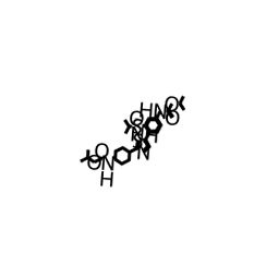 CC(C)OC(=O)Nc1ccc(-c2cnc(C3CCC(NC(=O)OC(C)C)CC3)s2)c(S(=N)(=O)C(C)C)c1